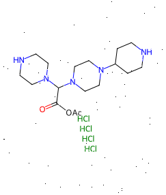 CC(=O)OC(=O)C(N1CCNCC1)N1CCN(C2CCNCC2)CC1.Cl.Cl.Cl.Cl